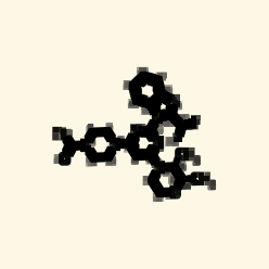 CCC(=O)N1CCN(c2cc(N3CCO[C@H](C)[C@H]3C)nc(-n3c(C(F)F)nc4ccccc43)n2)CC1